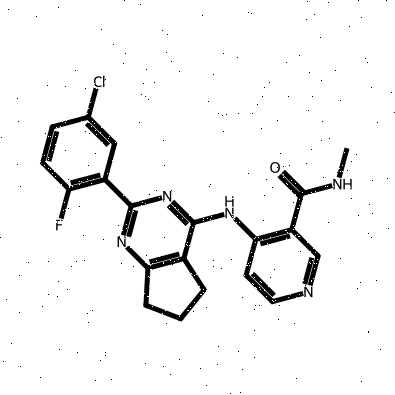 CNC(=O)c1cnccc1Nc1nc(-c2cc(Cl)ccc2F)nc2c1CCC2